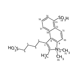 CC1=C(CCCCS(=O)(=O)O)c2c(ccc3c(S(=O)(=O)O)cccc23)[N+]1(C)C